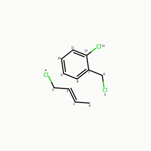 CC=CCCl.ClCc1ccccc1Cl